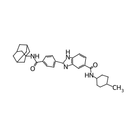 CC1CCC(NC(=O)c2ccc3[nH]c(-c4ccc(C(=O)NC56CC7CC(CC(C7)C5)C6)cc4)nc3c2)CC1